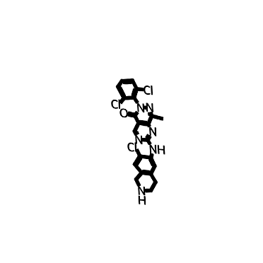 Cc1nn(-c2c(Cl)cccc2Cl)c(=O)c2cnc(Nc3cc4c(cc3Cl)CNCC4)nc12